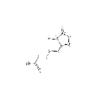 O=C(O)CCCCC1OCC(=O)C1=O